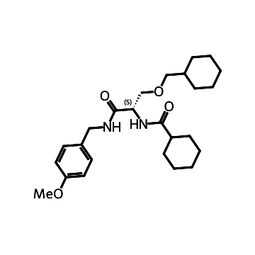 COc1ccc(CNC(=O)[C@H](COCC2CCCCC2)NC(=O)C2CCCCC2)cc1